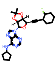 CC1(C)O[C@H]2[C@H](O1)[C@@H](C#CC1CCCCC1F)O[C@H]2n1cnc2c(NC3CCCC3)ncnc21